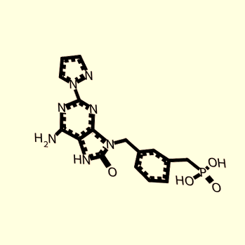 Nc1nc(-n2cccn2)nc2c1[nH]c(=O)n2Cc1cccc(CP(=O)(O)O)c1